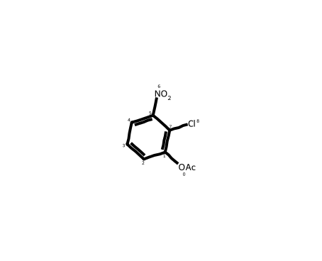 CC(=O)Oc1cccc([N+](=O)[O-])c1Cl